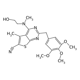 COc1cc(Cc2nc(N(C)CCO)c3c(C)c(C#N)sc3n2)cc(OC)c1OC